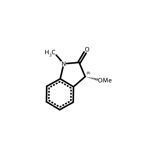 CO[C@H]1C(=O)N(C)c2ccccc21